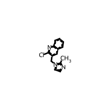 Cc1nccn1Cc1cc2ccccc2nc1Cl